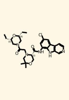 CC[C@@H]1CN(C(=O)CN2CC(C)(C)OC[C@H]2C(=O)Nc2cc(Cl)cc3c2[nH]c2cnccc23)C[C@H](CC)O1